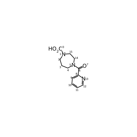 O=C(O)N1CCCN(C(=O)c2ccccn2)CC1